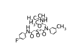 Cc1cccc(N(CC(=O)NC(C)(C)C)C(=O)C[S+]([O-])CC(=O)Nc2ccc(F)cc2)c1